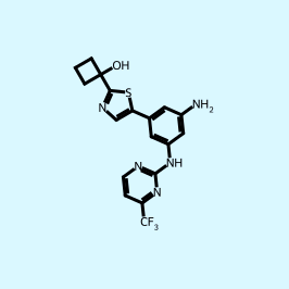 Nc1cc(Nc2nccc(C(F)(F)F)n2)cc(-c2cnc(C3(O)CCC3)s2)c1